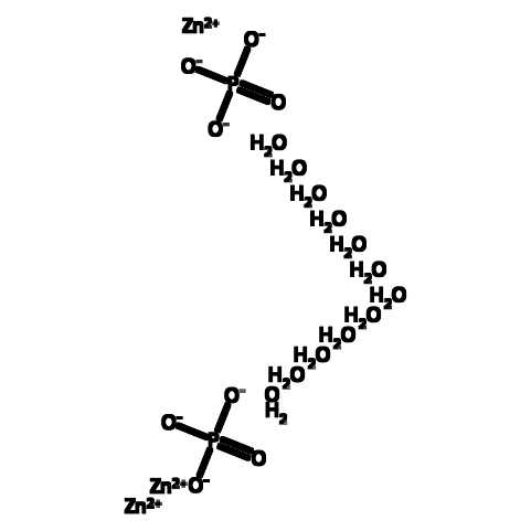 O.O.O.O.O.O.O.O.O.O.O.O.O=P([O-])([O-])[O-].O=P([O-])([O-])[O-].[Zn+2].[Zn+2].[Zn+2]